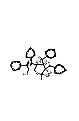 O=C(c1ccccc1)C(O)[C@H]1O[C@@](O)(I)[C@@](O)(C(=O)c2ccccc2)[C@](O)(C(=O)c2ccccc2)[C@@]1(O)C(=O)c1ccccc1